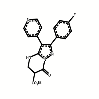 CCOC(=O)C1CNc2c(-c3ccncc3)c(-c3ccc(F)cc3)nn2C1=O